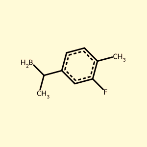 BC(C)c1ccc(C)c(F)c1